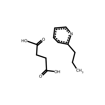 CCCc1ccccn1.O=C(O)CCC(=O)O